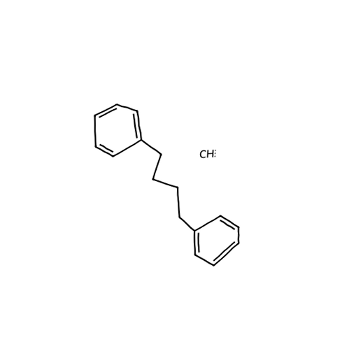 [CH].c1ccc(CCCCc2ccccc2)cc1